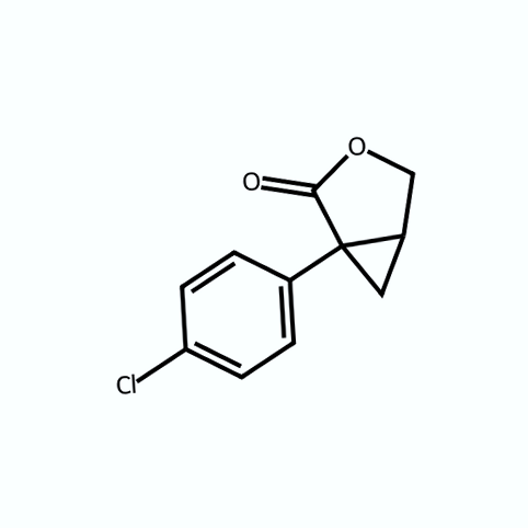 O=C1OCC2CC12c1ccc(Cl)cc1